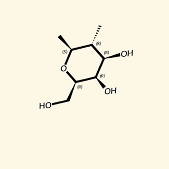 C[C@@H]1[C@@H](O)[C@@H](O)[C@@H](CO)O[C@H]1C